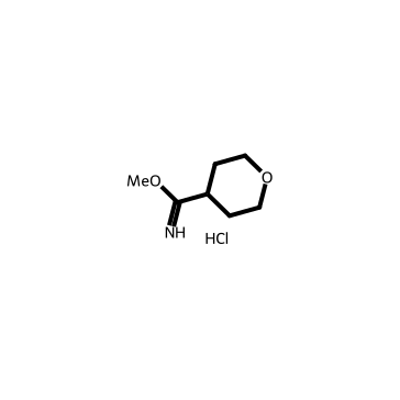 COC(=N)C1CCOCC1.Cl